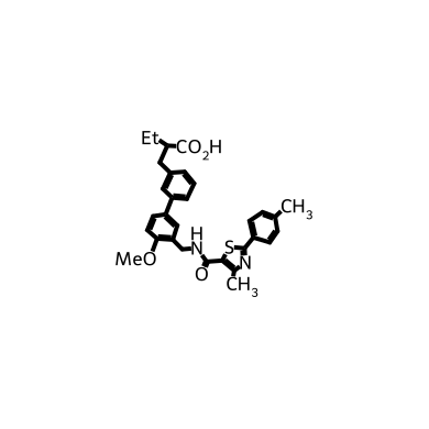 CCC(Cc1cccc(-c2ccc(OC)c(CNC(=O)c3sc(-c4ccc(C)cc4)nc3C)c2)c1)C(=O)O